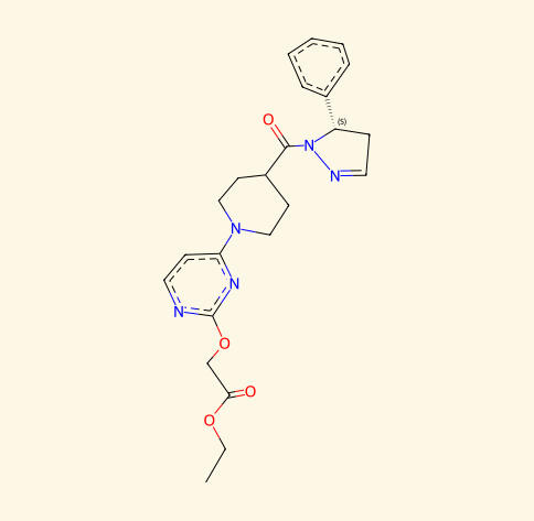 CCOC(=O)COc1nccc(N2CCC(C(=O)N3N=CC[C@H]3c3ccccc3)CC2)n1